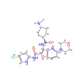 CN(C)[C@H]1CC[C@H](C(=O)Nc2c(C(=O)Nc3ccc(Cl)cn3)oc3ccc(N4CCOCC4)nc23)CC1